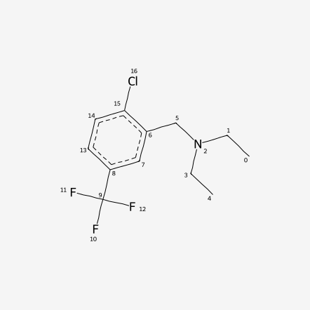 CCN(CC)Cc1cc(C(F)(F)F)ccc1Cl